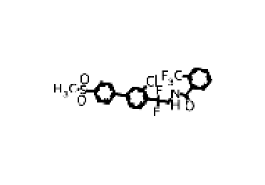 CS(=O)(=O)c1ccc(-c2ccc(C(F)(F)CNC(=O)c3ccccc3C(F)(F)F)c(Cl)c2)cc1